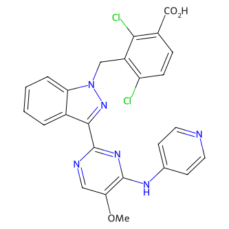 COc1cnc(-c2nn(Cc3c(Cl)ccc(C(=O)O)c3Cl)c3ccccc23)nc1Nc1ccncc1